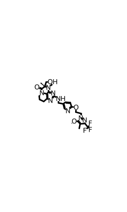 COc1c(C)c(C(F)(F)F)nn1CCOc1ccc(CNc2nc3c4c(n2)N(C)[C@@](C)(CO)C(=O)N4CCC3)cn1